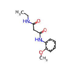 CCNC(=O)CC(=O)Nc1ccccc1OC